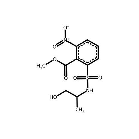 COC(=O)c1c([N+](=O)[O-])cccc1S(=O)(=O)NC(C)CO